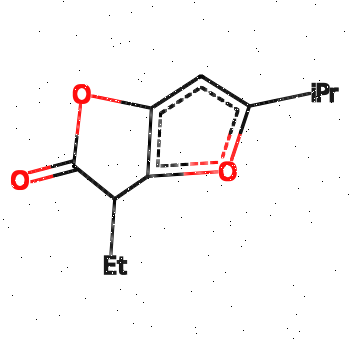 CCC1C(=O)Oc2cc(C(C)C)oc21